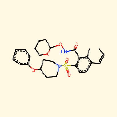 C/C=C\c1ccc(S(=O)(=O)N2CCC(Oc3ccccc3)CC2)c(C(=O)NOC2CCCCO2)c1C